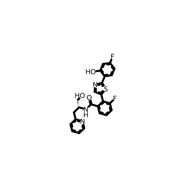 O=C(N[C@@H](CO)Cc1ccccn1)c1cccc(F)c1-c1cnc(-c2ccc(F)cc2O)s1